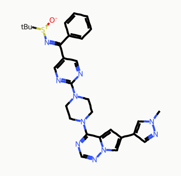 Cn1cc(-c2cc3c(N4CCN(c5ncc(/C(=N/[S+]([O-])C(C)(C)C)c6ccccc6)cn5)CC4)ncnn3c2)cn1